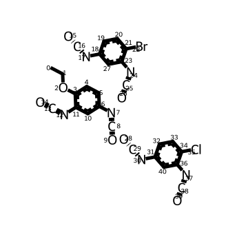 CCOc1ccc(N=C=O)cc1N=C=O.O=C=Nc1ccc(Br)c(N=C=O)c1.O=C=Nc1ccc(Cl)c(N=C=O)c1